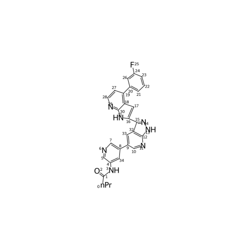 CCCC(=O)Nc1cncc(-c2cnc3[nH]nc(-c4cc5c(-c6cccc(F)c6)ccnc5[nH]4)c3c2)c1